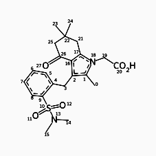 Cc1c(Cc2ccccc2S(=O)(=O)N(C)C)c2c(n1CC(=O)O)CC(C)(C)CC2=O